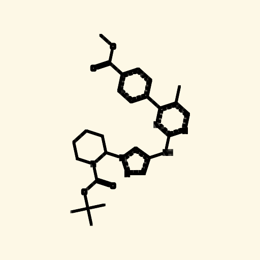 COC(=O)c1ccc(-c2nc(Nc3cnn(C4CCCCN4C(=O)OC(C)(C)C)c3)ncc2C)cc1